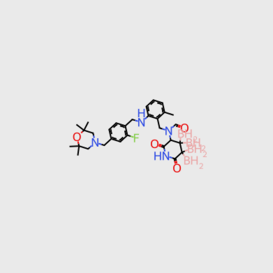 BC1(B)C(=O)NC(=O)C(N(C=O)Cc2c(C)cccc2NCc2ccc(CN3CC(C)(C)OC(C)(C)C3)cc2F)C1(B)B